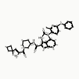 Cc1nc(Oc2ccccc2)ccc1N1C(=O)Nc2c(C(=O)NC3CCCN(C(=O)C(C#N)=CC4(C)CCC4)C3)sc3nccc1c23